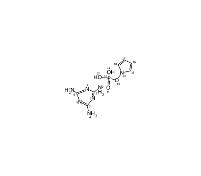 Nc1nc(N)nc(N)n1.O=P(O)(O)On1cccc1